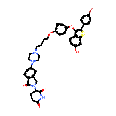 O=C1CCC(N2Cc3cc(N4CCN(CCCCOc5ccc(Oc6c(-c7ccc(Br)cc7)sc7cc(O)ccc67)cc5)CC4)ccc3C2=O)C(=O)N1